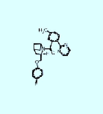 Cc1ccc(-c2ncccn2)c(C(=O)N2C3CC(C3)C[C@H]2COc2ccc(F)cc2)c1